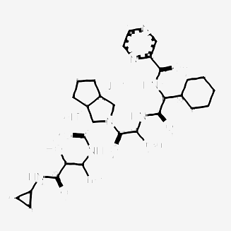 CCCC(NC(=O)[C@@H]1[C@H]2CCC[C@H]2CN1C(=O)C(NC(=O)C(NC(=O)c1cnccn1)C1CCCCC1)C(C)(C)C)C(O)C(=O)NC1CC1